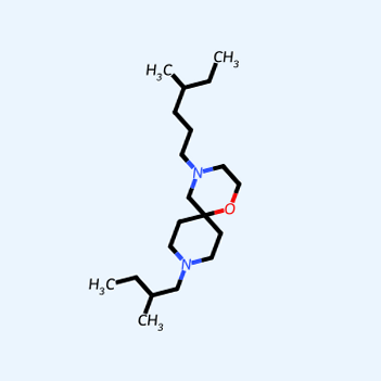 CCC(C)CCCN1CCOC2(CCN(CC(C)CC)CC2)C1